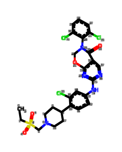 CCS(=O)(=O)CN1CCC(c2ccc(Nc3ncc4c(n3)OCN(c3c(Cl)cccc3Cl)C4=O)cc2Cl)CC1